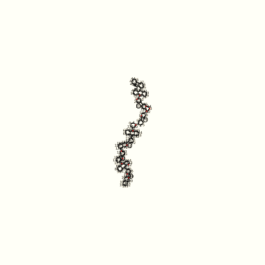 c1cc(-c2ccc3oc4cc(-c5cccc6cc7c(cc56)oc5ccc(-c6c8ccccc8c(-c8cccc9c8sc8ccccc89)c8ccccc68)cc57)ccc4c3c2)cc(-c2c3ccccc3c(-c3ccc4oc5cc6c(-c7ccc8oc9c(-c%10c%11ccccc%11c(-c%11ccc%12oc%13cc%14ccccc%14cc%13c%12c%11)c%11ccccc%10%11)cccc9c8c7)cccc6cc5c4c3)c3ccccc23)c1